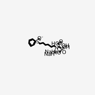 O=P(O)(O)C(NCCCCCC[S+]([O-])c1ccccc1)P(=O)(O)O.[NaH].[NaH]